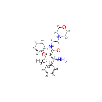 CC(=O)C(C(=O)N(CCN1CCOCC1)c1ccccc1)=C(N)c1ccccc1